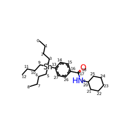 CCC[CH2][Sn]([CH2]CCC)([CH2]CCC)[c]1ccc(C(=O)NC2CCCCC2)cc1